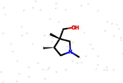 C[C@H]1CN(C)C[C@@]1(C)CO